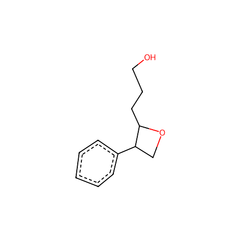 OCCCC1OCC1c1ccccc1